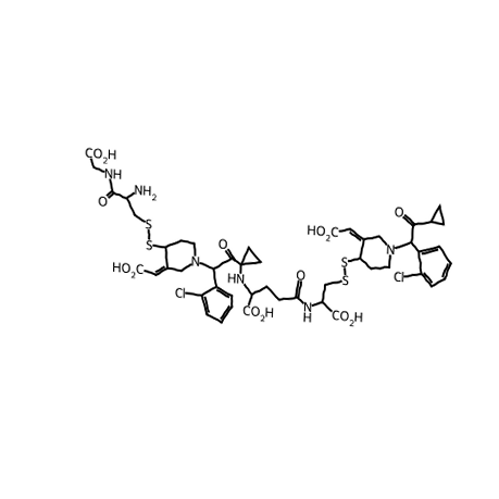 NC(CSSC1CCN(C(C(=O)C2(NC(CCC(=O)NC(CSSC3CCN(C(C(=O)C4CC4)c4ccccc4Cl)C/C3=C/C(=O)O)C(=O)O)C(=O)O)CC2)c2ccccc2Cl)C/C1=C/C(=O)O)C(=O)NCC(=O)O